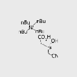 CCCC[N+](CCCC)(CCCC)CCCC.N#CC[C@@H](O)CC(=O)O